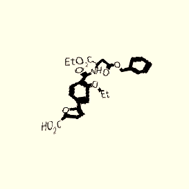 CCOC(=O)[C@H](CC(=O)OCc1ccccc1)NC(=O)c1ccc(-c2ccc(C(=O)O)o2)cc1OCC